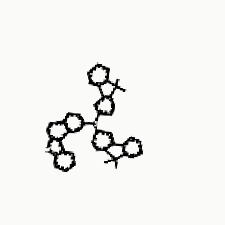 CC1(C)c2ccccc2-c2cc(N(c3ccc4c(c3)-c3ccccc3C4(C)C)c3ccc4ccc5oc6ccccc6c5c4c3)ccc21